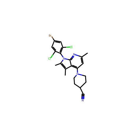 Cc1cc(N2CCC(C#N)CC2)c2c(C)c(C)n(-c3c(Cl)cc(Br)cc3Cl)c2n1